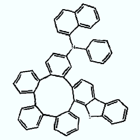 c1ccc(N(c2ccc3c4ccccc4c4ccccc4c4ccccc4c4c(ccc5c6ccccc6sc54)c3c2)c2cccc3ccccc23)cc1